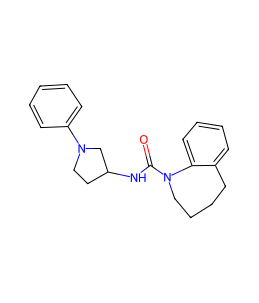 O=C(NC1CCN(c2ccccc2)C1)N1CCCCc2ccccc21